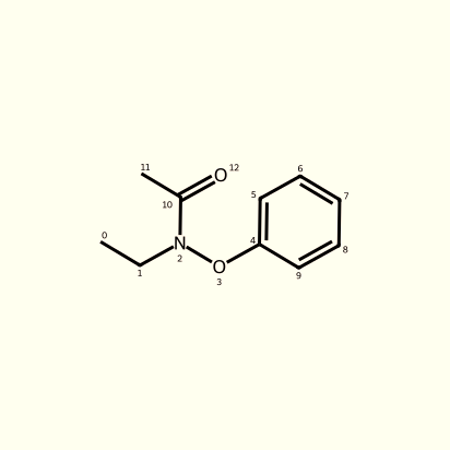 CCN(Oc1ccccc1)C(C)=O